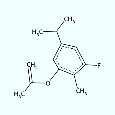 C=C(C)Oc1cc(C(C)C)cc(F)c1C